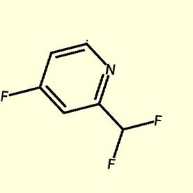 Fc1c[c]nc(C(F)F)c1